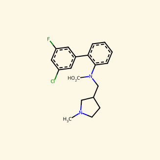 CN1CCC(CN(C(=O)O)c2ccccc2-c2cc(F)cc(Cl)c2)C1